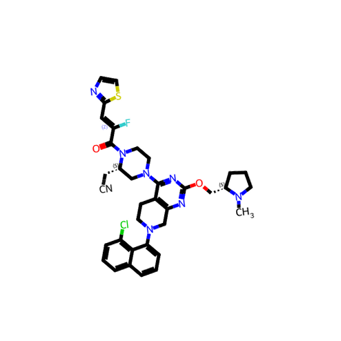 CN1CCC[C@H]1COc1nc2c(c(N3CCN(C(=O)/C(F)=C/c4nccs4)[C@@H](CC#N)C3)n1)CCN(c1cccc3cccc(Cl)c13)C2